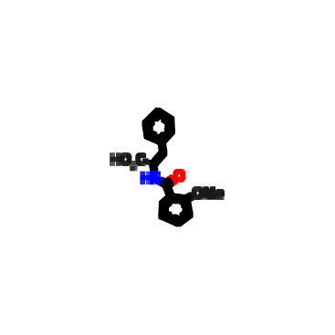 COc1ccccc1C(=O)N[C@@H](Cc1ccccc1)C(=O)O